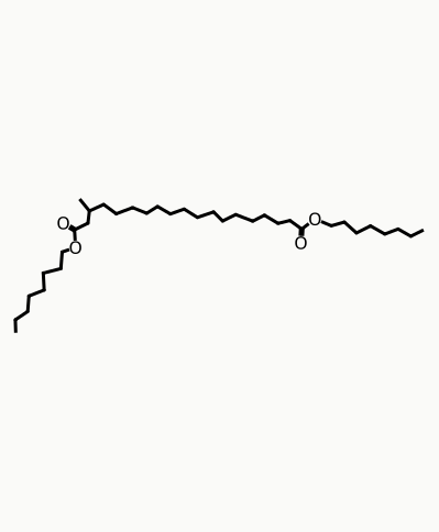 CCCCCCCCOC(=O)CCCCCCCCCCCCCCCC(C)CC(=O)OCCCCCCCC